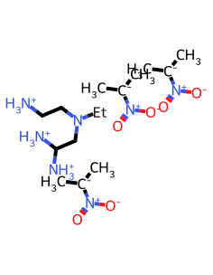 CCN(CC[NH3+])CC([NH3+])[NH3+].C[C-](C)[N+](=O)[O-].C[C-](C)[N+](=O)[O-].C[C-](C)[N+](=O)[O-]